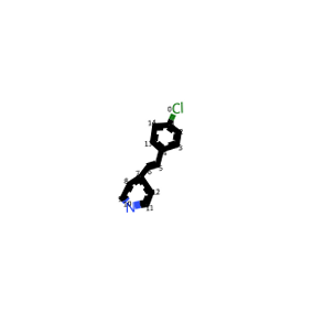 Clc1ccc(C=Cc2ccncc2)cc1